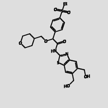 CCS(=O)(=O)c1ccc(C(OCC2CCOCC2)C(=O)Nc2nc3cc(CO)c(CO)cc3s2)cc1